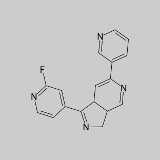 Fc1cc(C2=NCC3C=NC(c4cccnc4)=CC23)ccn1